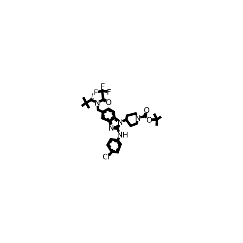 C[C@H](N(Cc1ccc2c(c1)nc(Nc1ccc(Cl)cc1)n2C1CCN(C(=O)OC(C)(C)C)CC1)C(=O)C(F)(F)F)C(C)(C)C